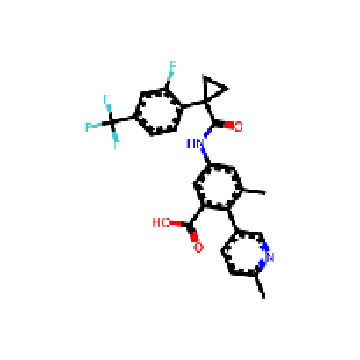 Cc1ccc(-c2c(C)cc(NC(=O)C3(c4ccc(C(F)(F)F)cc4F)CC3)cc2C(=O)O)cn1